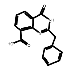 O=C(O)c1cccc2c(=O)[nH]c(Cc3ccccc3)nc12